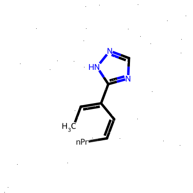 C/C=C(\C=C/CCC)c1ncn[nH]1